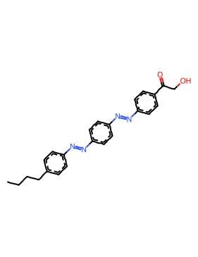 CCCCc1ccc(N=Nc2ccc(N=Nc3ccc(C(=O)CO)cc3)cc2)cc1